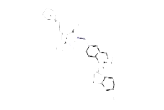 O=C1S/C(=C\c2ccc3c(cnn3[C@H]3CCc4cc(Cl)ccc43)c2)C(=O)N1CCN1CCCC1